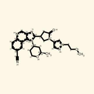 COCCn1cc(N2CC(c3nc4cnc5ccc(C#N)cc5c4n3[C@@H]3CCO[C@H](C)C3)CC2=O)cn1